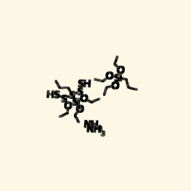 CCCS(SS)(SS)[Si](OCC)(OCC)OCC.CCC[Si](OCC)(OCC)OCC.N.N